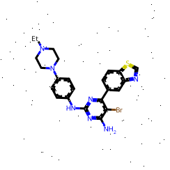 CCN1CCN(c2ccc(Nc3nc(N)c(Br)c(-c4ccc5scnc5c4)n3)cc2)CC1